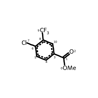 COC(=O)c1ccc(Cl)c(C(F)(F)F)c1